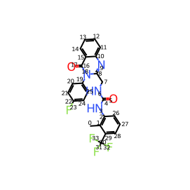 Cc1c(NC(=O)NCc2nc3ccccc3c(=O)n2-c2ccc(F)cc2)cccc1C(F)(F)F